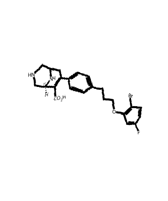 O=C(O)C1=C(c2ccc(CCCOc3cc(F)ccc3Br)cc2)CC2CNC[C@H]1N2